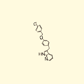 Clc1ccc(COc2ccc(Cc3c[nH]c4ncccc34)cc2)cc1